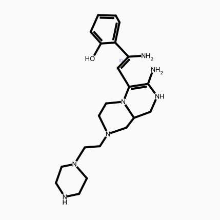 NC1=C(/C=C(\N)c2ccccc2O)N2CCN(CCN3CCNCC3)CC2CN1